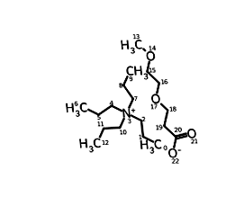 CCC[N+](CCC)(CCC)CCC.COCCOCCC(=O)[O-]